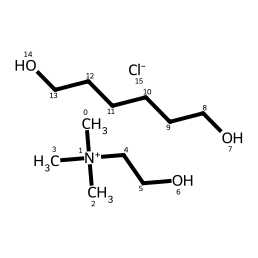 C[N+](C)(C)CCO.OCCCCCCO.[Cl-]